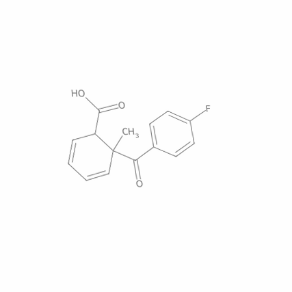 CC1(C(=O)c2ccc(F)cc2)C=CC=CC1C(=O)O